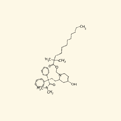 CCCCCCCCCCC(C)(C)C(=O)OCN1CCC(O)CC1CCC(C(=O)N(C)C)(c1ccccc1)c1ccccc1